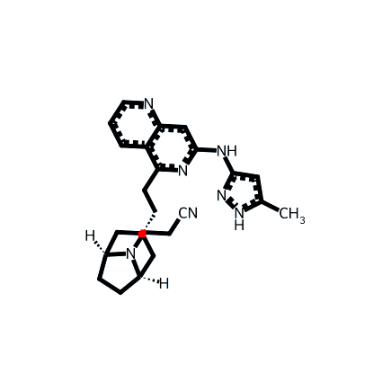 Cc1cc(Nc2cc3ncccc3c(CC[C@@H]3C[C@H]4CC[C@@H](C3)N4CCC#N)n2)n[nH]1